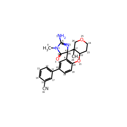 CN1C(=O)[C@]2(N=C1N)c1cc(-c3cccc(C#N)c3)ccc1OC1CCOCC12C